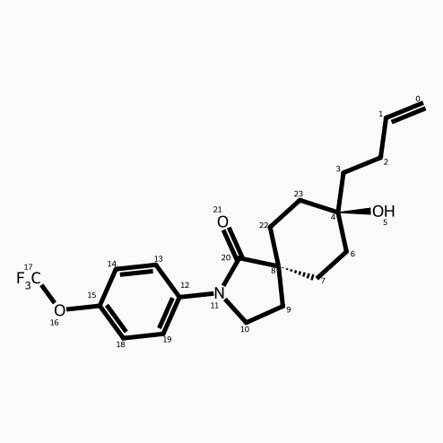 C=CCC[C@]1(O)CC[C@@]2(CCN(c3ccc(OC(F)(F)F)cc3)C2=O)CC1